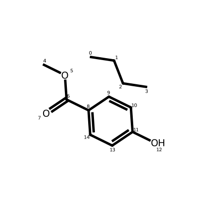 CCCC.COC(=O)c1ccc(O)cc1